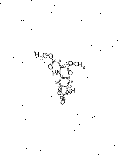 COC(=O)/C=C(\Nc1ccc2[nH]c(=O)oc2c1)C(=O)OC